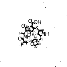 CC(NC(=O)C(F)F)[C@H]1C(=O)N2C(C(=O)O)=C(S[C@@H]3CN[C@H](CN4CCOCC4)C3)[C@H](C)[C@H]12